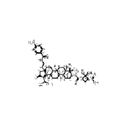 CC(C)C1=C2[C@H]3CC[C@@H]4[C@@]5(C)CC[C@H](OC(=O)[C@H]6C[C@@H](C(=O)O)C6(C)C)C(C)(C)[C@@H]5CC[C@@]4(C)[C@]3(C)CC[C@@]2(CCNC(=O)c2ccc(N)nc2)CC1=O